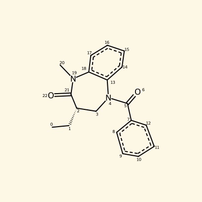 CC[C@H]1CN(C(=O)c2ccccc2)c2ccccc2N(C)C1=O